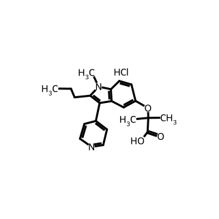 CCCc1c(-c2ccncc2)c2cc(OC(C)(C)C(=O)O)ccc2n1C.Cl